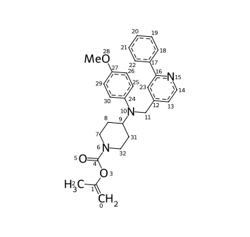 C=C(C)OC(=O)N1CCC(N(Cc2ccnc(-c3ccccc3)c2)c2ccc(OC)cc2)CC1